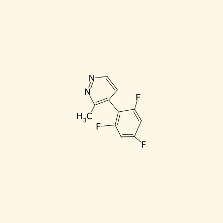 Cc1nnccc1-c1c(F)cc(F)cc1F